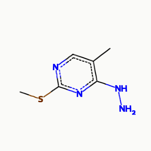 CSc1ncc(C)c(NN)n1